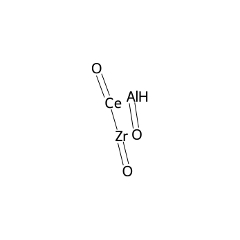 [O]=[AlH].[O]=[Zr][Ce]=[O]